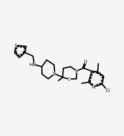 Cc1cc(Cl)nc(C)c1C(=O)N1CCC(C)(N2CCC(NCc3ccsc3)CC2)CC1